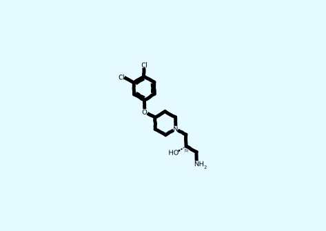 NC[C@H](O)CN1CCC(Oc2ccc(Cl)c(Cl)c2)CC1